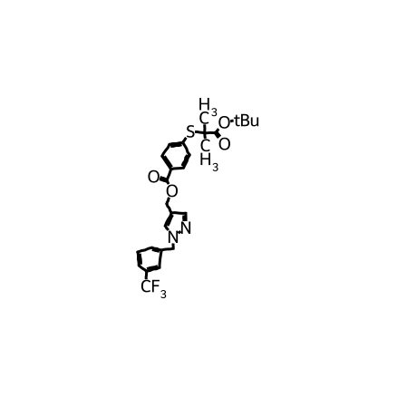 CC(C)(C)OC(=O)C(C)(C)Sc1ccc(C(=O)OCc2cnn(Cc3cccc(C(F)(F)F)c3)c2)cc1